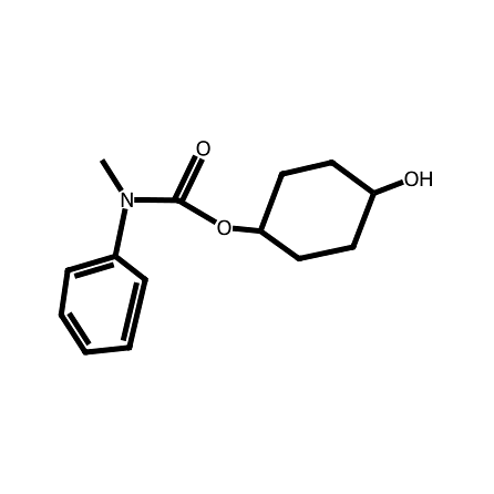 CN(C(=O)OC1CCC(O)CC1)c1ccccc1